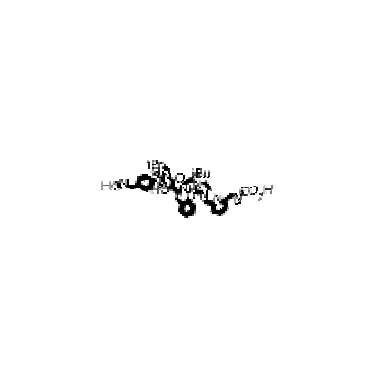 CC[C@H](C)[C@@H](C(=O)N[C@@H](Cc1ccccc1)[C@H](O)CN(CC(C)C)S(=O)(=O)c1ccc(C=NO)cc1)N1CCN(Cc2cccc(CN(C)C(=O)O)n2)C1=O